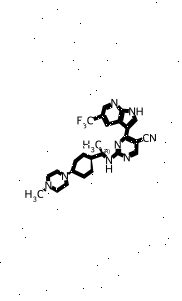 C[C@@H](Nc1ncc(C#N)c(-c2c[nH]c3ncc(C(F)(F)F)cc23)n1)[C@H]1CC[C@@H](N2CCN(C)CC2)CC1